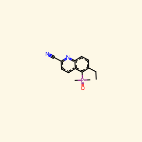 CCc1ccc2nc(C#N)ccc2c1P(C)(C)=O